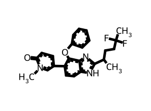 CC(CCC(C)(F)F)c1nc2c(Oc3ccccc3)c(-c3ccc(=O)n(C)c3)ccc2[nH]1